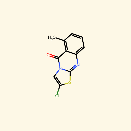 Cc1cccc2nc3sc(Cl)cn3c(=O)c12